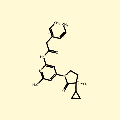 C/C=C\C(=C/C)CC(=O)Nc1cc(N2CC[C@@](C#N)(C3CC3)C2=O)cc(C)n1